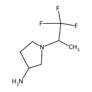 CC(N1CCC(N)C1)C(F)(F)F